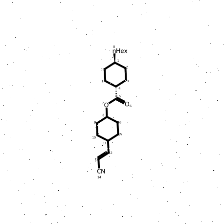 CCCCCC[C@H]1CC[C@H](C(=O)OC2CCC(/C=C/C#N)CC2)CC1